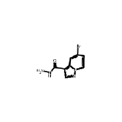 NNC(=O)c1cnn2ccc(Br)cc12